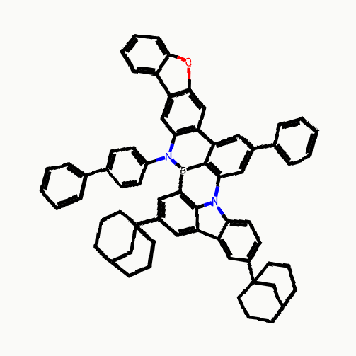 c1ccc(-c2ccc(N3B4c5c(cc(-c6ccccc6)cc5-n5c6ccc(C78CCCC(CCC7)C8)cc6c6cc(C78CCCC(CCC7)C8)cc4c65)-c4cc5oc6ccccc6c5cc43)cc2)cc1